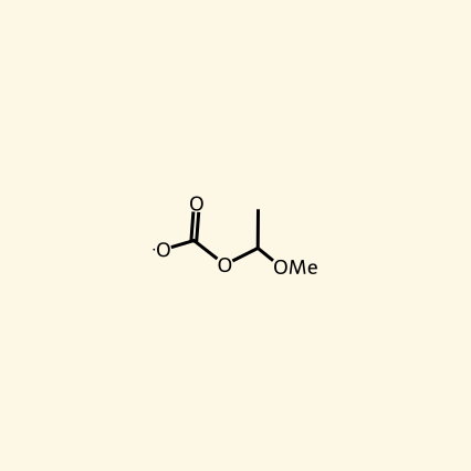 COC(C)OC([O])=O